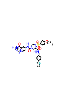 C=C(/C=C(\C=C/N)NC(=O)N1CCN(S(=O)(=O)c2ccc(OC(F)(F)F)cc2)[C@@H](C(=O)NCc2ccc(C(F)(F)CC)cc2)C1)C(N)=O